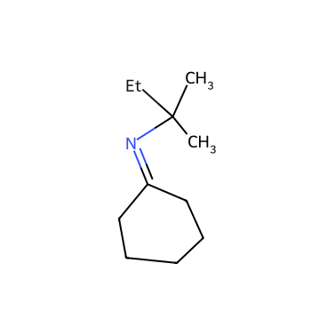 CCC(C)(C)N=C1CCCCC1